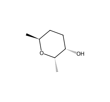 C[C@@H]1O[C@@H](C)CC[C@@H]1O